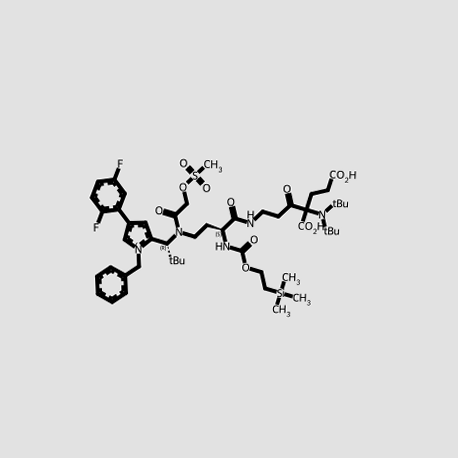 CC(C)(C)[C@H](c1cc(-c2cc(F)ccc2F)cn1Cc1ccccc1)N(CC[C@H](NC(=O)OCC[Si](C)(C)C)C(=O)NCCC(=O)C(CCC(=O)O)(C(=O)O)N(C(C)(C)C)C(C)(C)C)C(=O)COS(C)(=O)=O